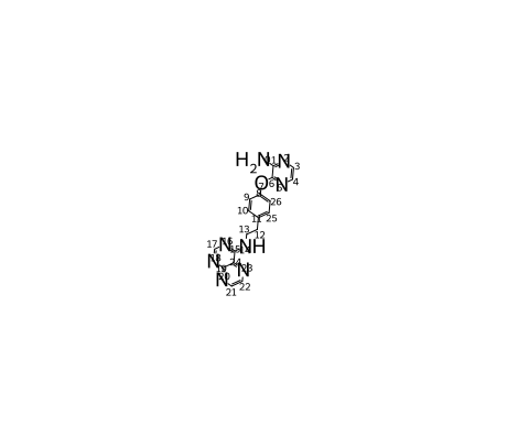 Nc1nccnc1Oc1ccc(CCNc2ncnc3nccnc23)cc1